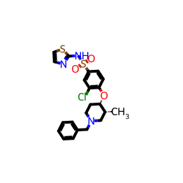 C[C@@H]1CN(Cc2ccccc2)CC[C@@H]1Oc1ccc(S(=O)(=O)Nc2nccs2)cc1Cl